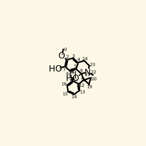 COc1cc2c(cc1O)[C@@](O)(C1(c3ccccc3Cl)CC1)N(C)CC2